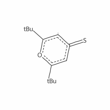 CC(C)(C)c1[c]c(=S)cc(C(C)(C)C)o1